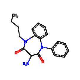 CCCCN1C(=O)C(N)C(=O)N(c2ccccc2)c2ccccc21